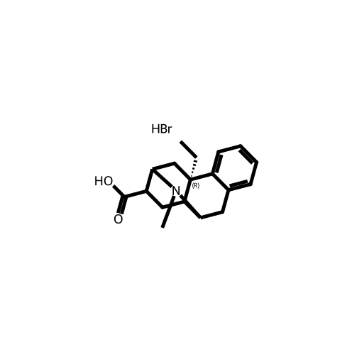 Br.CC[C@@]12CC3C(C(=O)O)CC1C(Cc1ccccc12)N3C